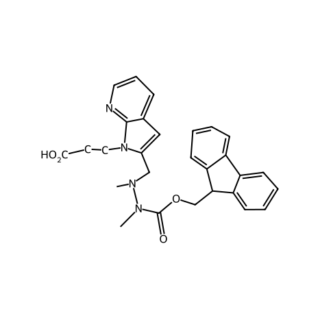 CN(Cc1cc2cccnc2n1CCC(=O)O)N(C)C(=O)OCC1c2ccccc2-c2ccccc21